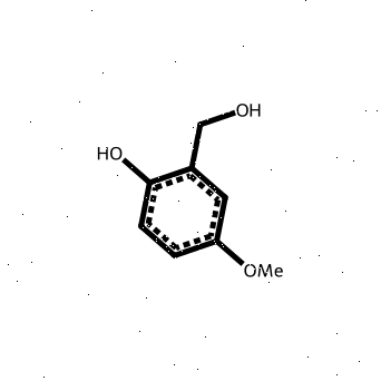 COc1ccc(O)c(CO)c1